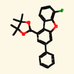 CC1(C)OB(c2cc(-c3ccccc3)cc3oc4c(F)cccc4c23)OC1(C)C